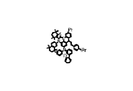 CC(C)c1ccc(CCC2c3ccc(C(C)C)cc3B3c4sc5c(c4N(c4ccc6c(c4)C(C)(C)CCC6(C)C)c4cc(N(c6ccccc6)c6cccc7c6oc6ccccc67)cc2c43)C(C)(C)CCC5(C)C)cc1